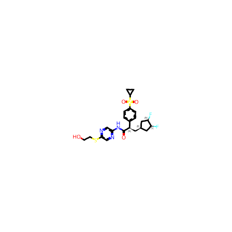 O=C(Nc1cnc(SCCO)cn1)[C@H](C[C@H]1C[C@@H](F)[C@@H](F)C1)c1ccc(S(=O)(=O)C2CC2)cc1